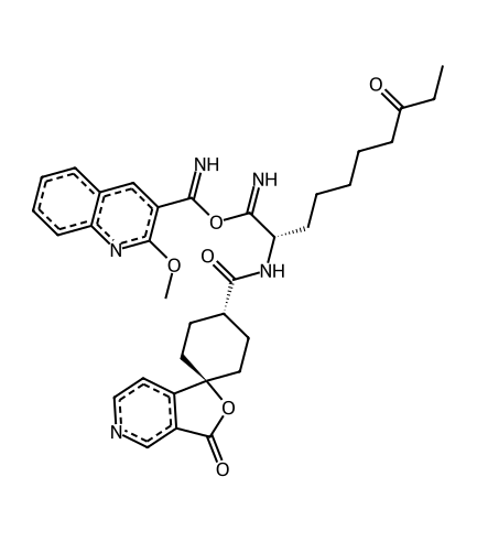 CCC(=O)CCCCC[C@H](NC(=O)[C@H]1CC[C@@]2(CC1)OC(=O)c1cnccc12)C(=N)OC(=N)c1cc2ccccc2nc1OC